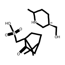 CC1(C)C2CCC1(CS(=O)(=O)O)C(=O)C2.CC1CC[C@@H](CO)CN1